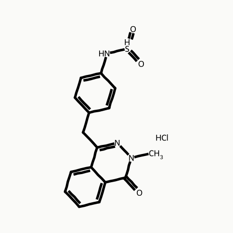 Cl.Cn1nc(Cc2ccc(N[SH](=O)=O)cc2)c2ccccc2c1=O